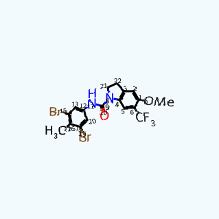 COc1cc2c(cc1C(F)(F)F)N(C(=O)Nc1cc(Br)c(C)c(Br)c1)CC2